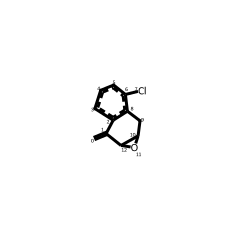 C=C1c2cccc(Cl)c2CC2OC12